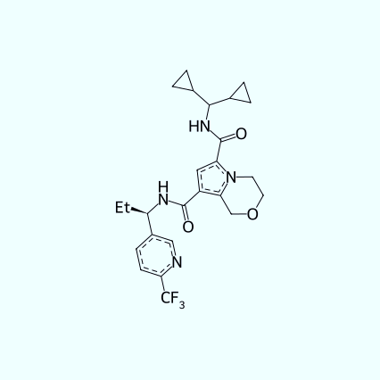 CC[C@@H](NC(=O)c1cc(C(=O)NC(C2CC2)C2CC2)n2c1COCC2)c1ccc(C(F)(F)F)nc1